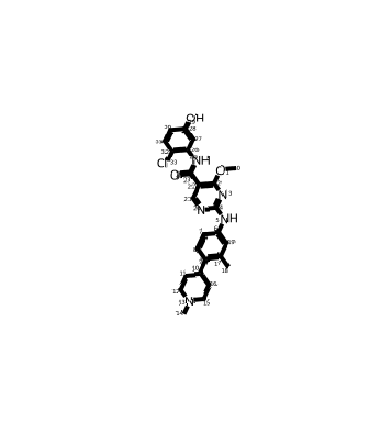 COc1nc(Nc2ccc(C3CCN(C)CC3)c(C)c2)ncc1C(=O)Nc1cc(O)ccc1Cl